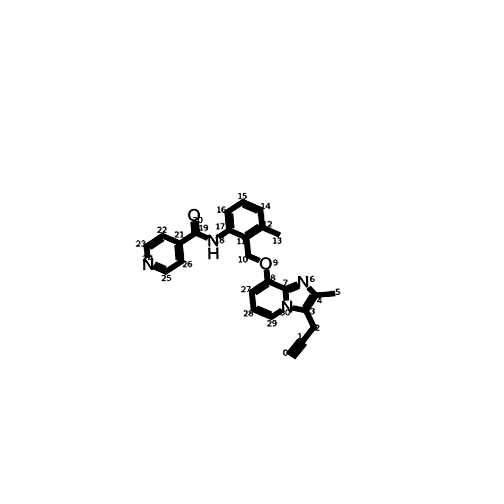 C#CCc1c(C)nc2c(OCc3c(C)cccc3NC(=O)c3ccncc3)cccn12